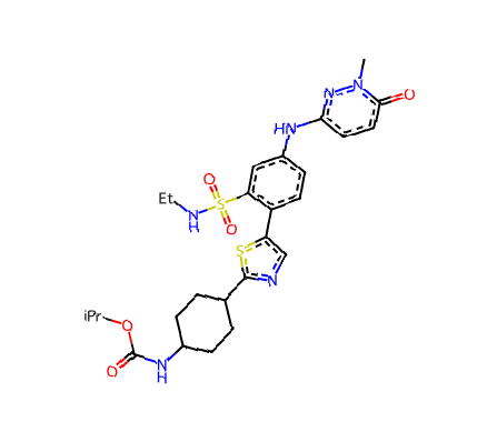 CCNS(=O)(=O)c1cc(Nc2ccc(=O)n(C)n2)ccc1-c1cnc(C2CCC(NC(=O)OC(C)C)CC2)s1